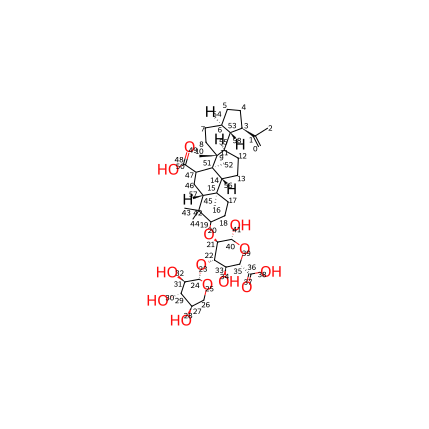 C=C(C)[C@@H]1CC[C@@H]2CC[C@]3(C)[C@H](CC[C@@H]4[C@@]5(C)CCC(O[C@@H]6[C@@H](O[C@@H]7OC[C@@H](O)[C@H](O)[C@H]7O)[C@H](O)[C@@H](C(=O)O)O[C@H]6O)C(C)(C)[C@@H]5CC(C(=O)O)[C@]43C)[C@H]21